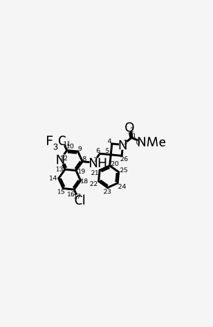 CNC(=O)N1CC(CNc2cc(C(F)(F)F)nc3ccc(Cl)cc23)(c2ccccc2)C1